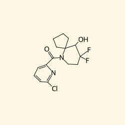 O=C(c1cccc(Cl)n1)N1CCC(F)(F)C(O)C12CCCC2